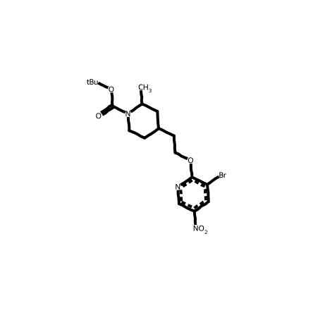 CC1CC(CCOc2ncc([N+](=O)[O-])cc2Br)CCN1C(=O)OC(C)(C)C